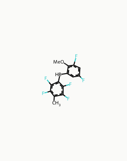 COc1c(F)cc(F)cc1Bc1c(F)c(F)c(C)c(F)c1F